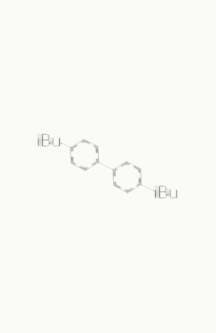 CCC(C)c1ccc(-c2ccc(C(C)CC)cc2)cc1